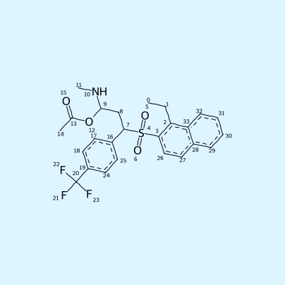 CCc1c(S(=O)(=O)C(CC(NC)OC(C)=O)c2ccc(C(F)(F)F)cc2)ccc2ccccc12